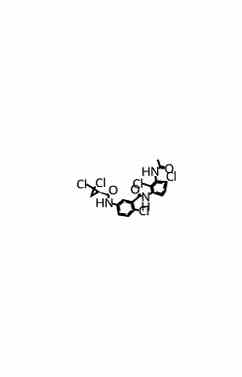 CC(=O)Nc1c(Cl)ccc(NC(=O)c2cc(NC(=O)[C@H]3CC3(Cl)Cl)ccc2Cl)c1Cl